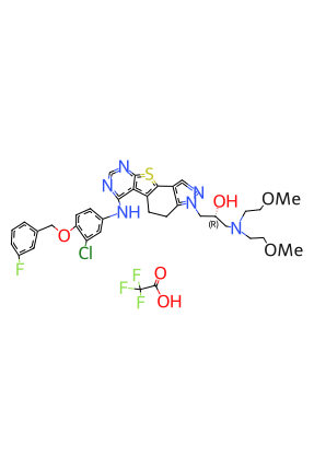 COCCN(CCOC)C[C@@H](O)Cn1ncc2c1CCc1c-2sc2ncnc(Nc3ccc(OCc4cccc(F)c4)c(Cl)c3)c12.O=C(O)C(F)(F)F